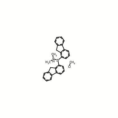 CCl.C[SiH](C)[Zr]([c]1cccc2c1Cc1ccccc1-2)[c]1cccc2c1Cc1ccccc1-2